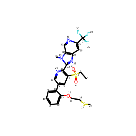 CCS(=O)(=O)c1cc(-c2ccccc2OCCSC)cnc1-c1nc2cc(C(F)(F)F)ncc2n1C